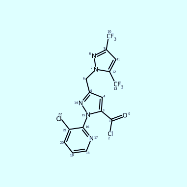 O=C(Cl)c1cc(Cn2nc(C(F)(F)F)cc2C(F)(F)F)nn1-c1ncccc1Cl